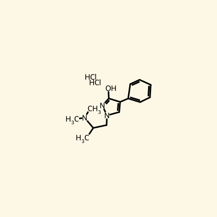 CC(Cn1cc(-c2ccccc2)c(O)n1)N(C)C.Cl.Cl